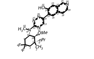 CCC[C@]1(C)CC(F)(F)C[C@H](N(C)c2ncc(-c3cc4ccncc4cc3O)nn2)[C@H]1OC